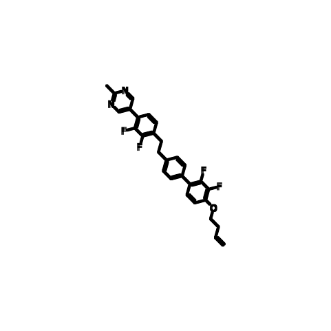 C=CCCOc1ccc(-c2ccc(CCc3ccc(-c4cnc(C)nc4)c(F)c3F)cc2)c(F)c1F